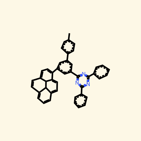 Cc1ccc(-c2cc(C3=CC=C4C=CC5=CC=CC6=CC=C3C4C56)cc(-c3nc(-c4ccccc4)nc(-c4ccccc4)n3)c2)cc1